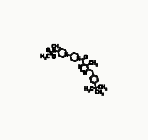 Cc1c(Cc2ccc(C(C)(C)C)cc2)ncnc1C(=O)N1CCC(N2CCC(N(C)S(C)(=O)=O)CC2)CC1